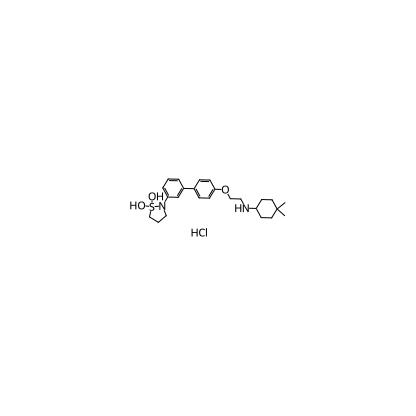 CC1(C)CCC(NCCOc2ccc(-c3cccc(N4CCCS4(O)O)c3)cc2)CC1.Cl